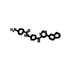 Nc1ccc(C(=O)Nc2ccc(Nc3cc(-c4ccc5ccccc5c4)ncn3)cc2)cc1